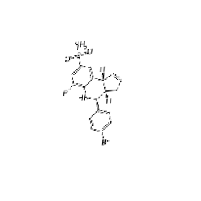 NS(=O)(=O)c1cc(F)c2c(c1)[C@@H]1C=CC[C@@H]1[C@@H](c1ccc(Br)cc1)N2